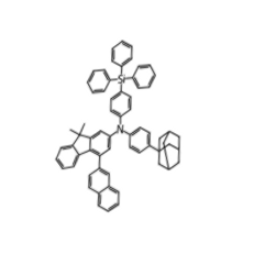 CC1(C)c2ccccc2-c2c(-c3ccc4ccccc4c3)cc(N(c3ccc(C45CC6CC(CC(C6)C4)C5)cc3)c3ccc([Si](c4ccccc4)(c4ccccc4)c4ccccc4)cc3)cc21